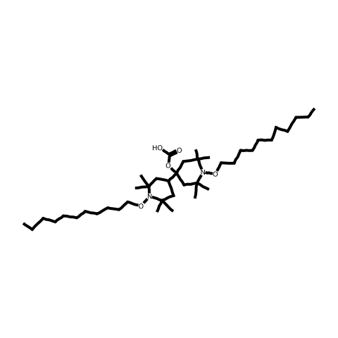 CCCCCCCCCCCON1C(C)(C)CC(C2(OC(=O)O)CC(C)(C)N(OCCCCCCCCCCC)C(C)(C)C2)CC1(C)C